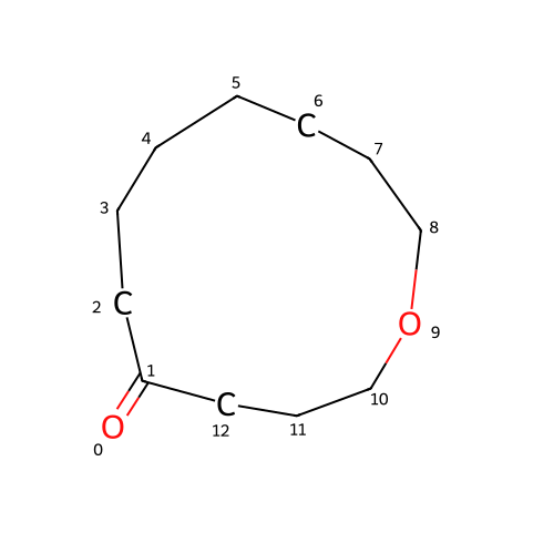 O=C1CCCCCCCOCCC1